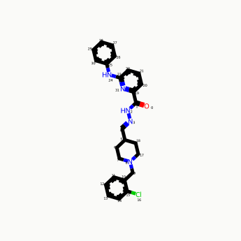 O=C(NN=CC1CCN(Cc2ccccc2Cl)CC1)c1cccc(Nc2ccccc2)n1